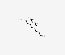 C1CO1.CC1CO1.CCCCCCCCCCCCCCCCCCN